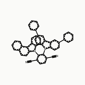 N#Cc1ccc(C#N)c(-n2c3ccccc3c3c4ccccc4ccc32)c1-n1c2ccc(-c3ccccc3)cc2c2cc(-c3ccccc3)ccc21